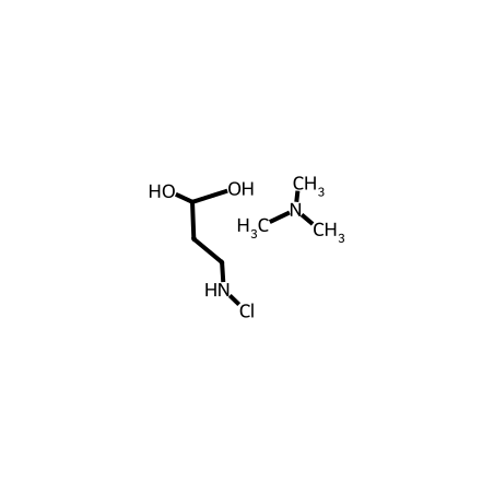 CN(C)C.OC(O)CCNCl